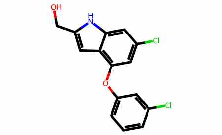 OCc1cc2c(Oc3cccc(Cl)c3)cc(Cl)cc2[nH]1